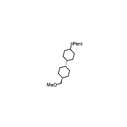 CCCCCC1CCC([C@H]2CC[C@H](COC)CC2)CC1